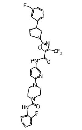 O=C(Nc1ccc(N2CCN(C(=O)Nc3ccccc3F)CC2)nc1)c1oc(N2CCC(c3cccc(F)c3)C2)nc1C(F)(F)F